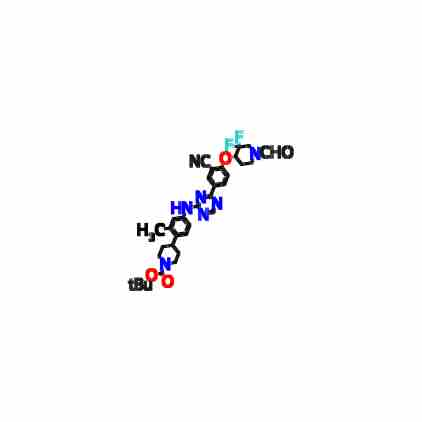 Cc1cc(Nc2ncnc(-c3ccc(O[C@H]4CCN(C=O)CC4(F)F)c(C#N)c3)n2)ccc1C1CCN(C(=O)OC(C)(C)C)CC1